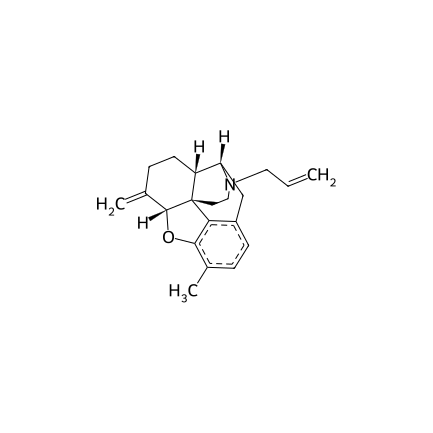 C=CCN1CC[C@@]23c4c5ccc(C)c4O[C@@H]2C(=C)CC[C@@H]3[C@@H]1C5